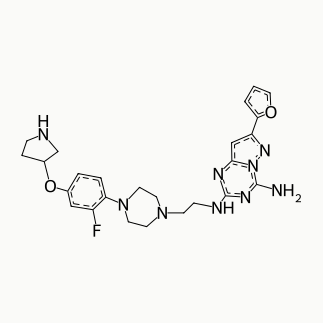 Nc1nc(NCCN2CCN(c3ccc(OC4CCNC4)cc3F)CC2)nc2cc(-c3ccco3)nn12